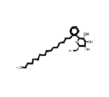 CCCCCCCCCCCCCCCCc1ccccc1[C]1O[C@H](CO)[C@@H](O)[C@H](O)[C@H]1O